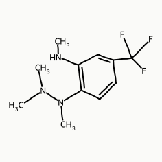 CNc1cc(C(F)(F)F)ccc1N(C)N(C)C